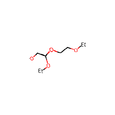 CCOCCOC(C[O])OCC